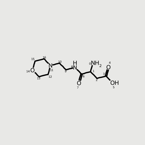 NC(CC(=O)O)C(=O)NCCN1CCOCC1